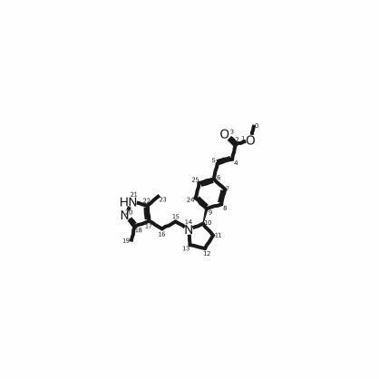 COC(=O)C=Cc1ccc([C@H]2CCCN2CCc2c(C)n[nH]c2C)cc1